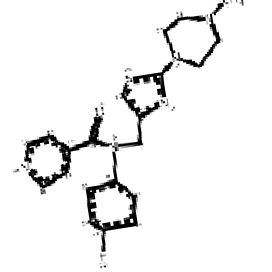 CN1CCN(c2nc(CN(C(=O)c3ccncc3)c3ccc(F)cc3)cs2)CC1